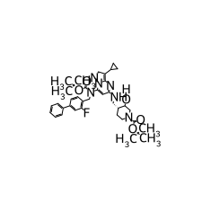 CC(C)(C)OC(=O)N1CC[C@H](CNc2cc(N(Cc3ccc(-c4ccccc4)cc3F)C(=O)OC(C)(C)C)n3ncc(C4CC4)c3n2)[C@@H](O)C1